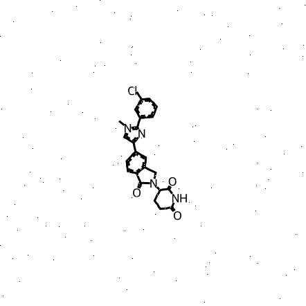 Cn1cc(-c2ccc3c(c2)CN(C2CCC(=O)NC2=O)C3=O)nc1-c1cccc(Cl)c1